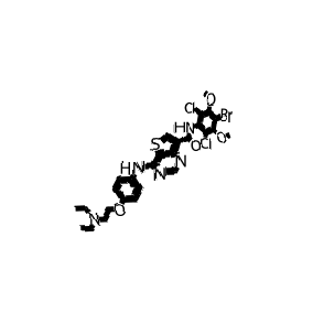 CCN(CC)CCOc1ccc(Nc2ncnc3c(C(=O)Nc4c(Cl)c(OC)c(Br)c(OC)c4Cl)csc23)cc1